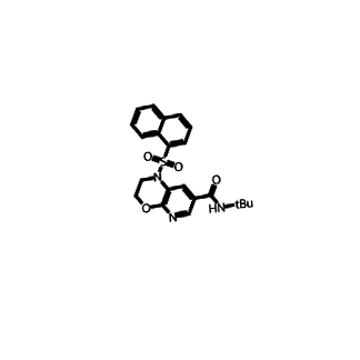 CC(C)(C)NC(=O)c1cnc2c(c1)N(S(=O)(=O)c1cccc3ccccc13)CCO2